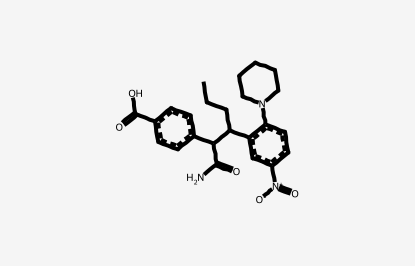 CCCC(c1cc([N+](=O)[O-])ccc1N1CCCCC1)C(C(N)=O)c1ccc(C(=O)O)cc1